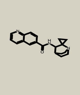 O=C(NC1C2CCN(CC2)C12CC2)c1ccc2ncccc2c1